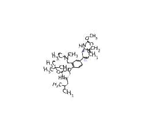 C=N/C(=C\C(=C/C)c1ccc(OC[C@H](CC(C)C)NC(=O)OC(C)(C)C)c(CN(C)C)c1)NC(=O)OC